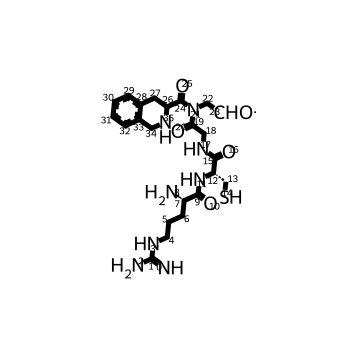 N=C(N)NCCC[C@H](N)C(=O)N[C@@H](CS)C(=O)NCC(=O)N(C[C]=O)C(=O)C1Cc2ccccc2CN1